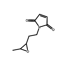 CC1OC1CCN1C(=O)C=CC1=O